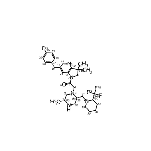 C[C@@H]1CN(CC(=O)N2CC(C)(C)c3ncc(Cc4ccc(F)cc4)cc32)[C@@H](CN2CCCCC2C(F)(F)F)CN1